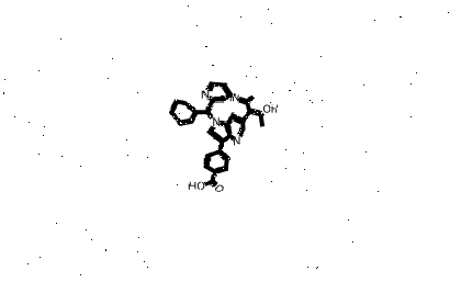 CC(=N)/C(=C(/C)O)c1cnc2c(-c3ccc(C(=O)O)cc3)cn(C(c3ccccn3)C3CCCCC3)c2c1